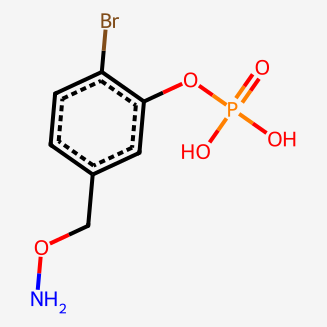 NOCc1ccc(Br)c(OP(=O)(O)O)c1